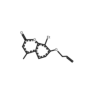 C=CCOc1ccc2c(C)cc(=O)oc2c1CC